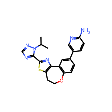 CC(C)n1ncnc1-c1nc2c(s1)CCOc1ccc(-c3ccc(N)nc3)cc1-2